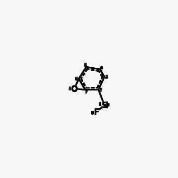 F[Si]c1cccc2c1O2